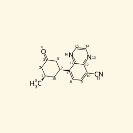 C[C@H]1CC(=O)C[C@@H](c2ccc(C#N)c3nccnc23)C1